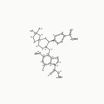 COC(=O)c1ccc([C@@H]2CC3(CCN2Cc2c(OC)cc(C)c4c2ccn4C(=O)OC(C)(C)C)CCC(F)(F)C3)cc1